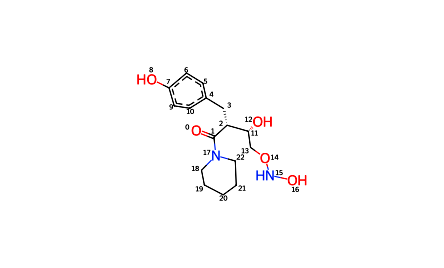 O=C([C@H](Cc1ccc(O)cc1)[C@H](O)CONO)N1CCCCC1